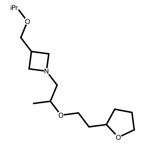 CC(C)OCC1CN(CC(C)OCCC2CCCO2)C1